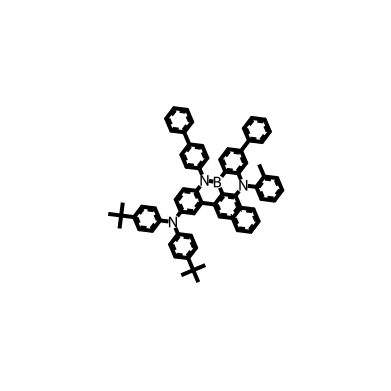 Cc1ccccc1N1c2cc(-c3ccccc3)ccc2B2c3c(cc4ccccc4c31)-c1cc(N(c3ccc(C(C)(C)C)cc3)c3ccc(C(C)(C)C)cc3)ccc1N2c1ccc(-c2ccccc2)cc1